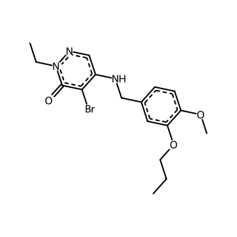 CCCOc1cc(CNc2cnn(CC)c(=O)c2Br)ccc1OC